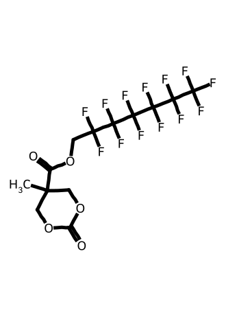 CC1(C(=O)OCC(F)(F)C(F)(F)C(F)(F)C(F)(F)C(F)(F)C(F)(F)F)COC(=O)OC1